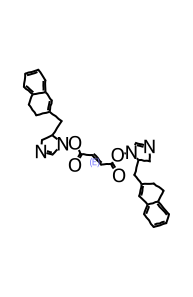 O=C(/C=C/C(=O)ON1C=NCC1CC1=Cc2ccccc2CC1)ON1C=NCC1CC1=Cc2ccccc2CC1